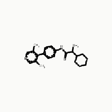 Cc1cncc(C)c1-c1ccc(NC(=O)C(N)C2CCCCC2)cc1